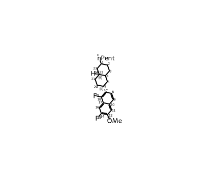 CCCCCC1CCC2C[C@H](c3ccc4cc(OC)c(F)cc4c3F)CC[C@@H]2C1